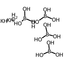 O.OB(O)O.OB(O)O.OB(O)O.OB(O)O.[KH].[KH]